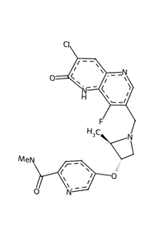 CNC(=O)c1ccc(O[C@H]2CN(Cc3cnc4cc(Cl)c(=O)[nH]c4c3F)[C@@H]2C)cn1